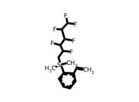 C=Cc1ccccc1[Si](C)(C)CC(F)C(F)C(F)C(F)C(F)F